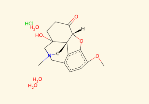 COc1ccc2c3c1O[C@H]1C(=O)CCC4(O)C(C2)N(C)CC[C@]314.Cl.O.O.O